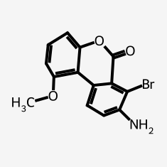 COc1cccc2oc(=O)c3c(Br)c(N)ccc3c12